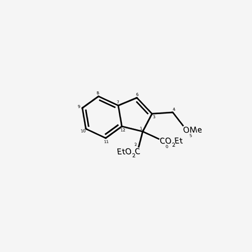 CCOC(=O)C1(C(=O)OCC)C(COC)=Cc2ccccc21